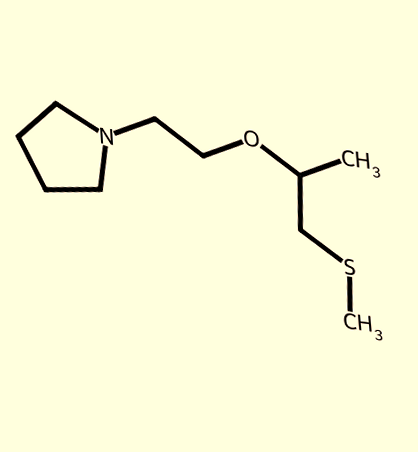 CSCC(C)OCCN1CCCC1